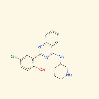 Oc1ccc(Cl)cc1-c1nc(NC2CCCNC2)c2ccccc2n1